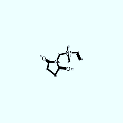 C=C[N+](C)(C)CN1C(=O)CCC1=O